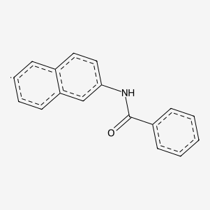 O=C(Nc1ccc2c[c]ccc2c1)c1ccccc1